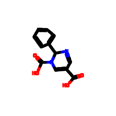 O=C(O)C1=CN(C(=O)O)C(c2ccccc2)N=C1